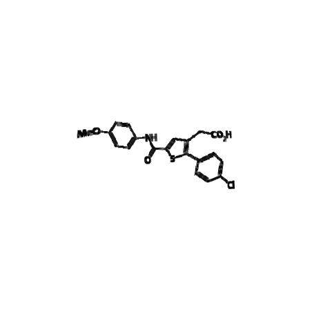 COc1ccc(NC(=O)c2cc(CC(=O)O)c(-c3ccc(Cl)cc3)s2)cc1